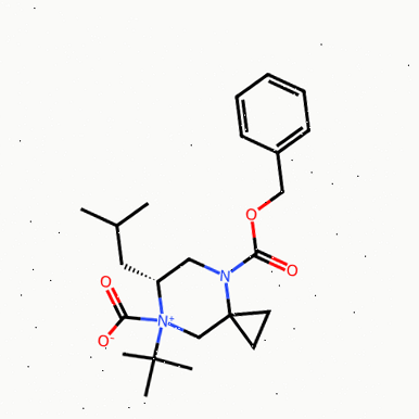 CC(C)C[C@@H]1CN(C(=O)OCc2ccccc2)C2(CC2)C[N+]1(C(=O)[O-])C(C)(C)C